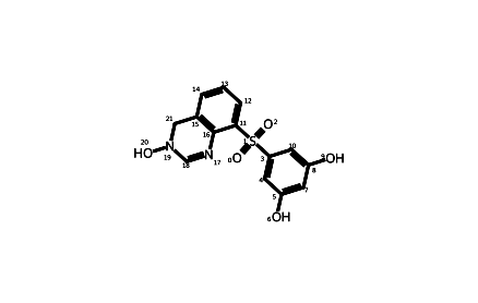 O=S(=O)(c1cc(O)cc(O)c1)c1cccc2c1N=CN(O)C2